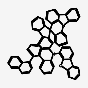 c1ccc(-c2cccc3ccccc23)c(-c2ccccc2N(c2ccc3c(c2)C2(c4ccccc4-3)c3ccccc3-n3c4ccccc4c4cccc2c43)c2cccc3c2oc2ccccc23)c1